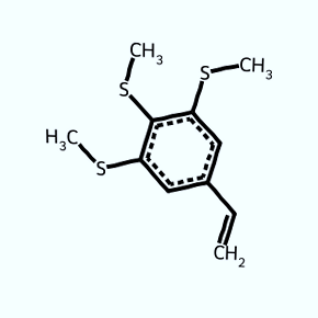 C=Cc1cc(SC)c(SC)c(SC)c1